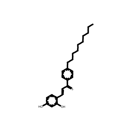 CCCCCCCCCCc1ccc(C(=S)C=Cc2ccc(O)cc2O)cc1